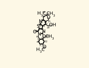 COc1ccc(Cn2cnc3c(sc4nc5c(c(CO)c43)COC(C)(C)C5)c2=O)c(OC)c1